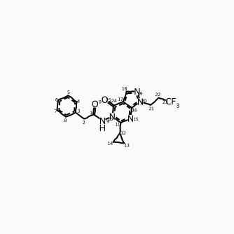 O=C(Cc1ccccc1)Nn1c(C2CC2)nc2c(cnn2CCC(F)(F)F)c1=O